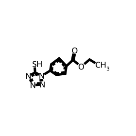 CCOC(=O)c1ccc(-n2nnnc2S)cc1